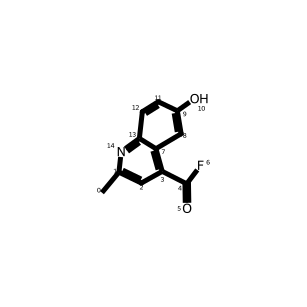 Cc1cc(C(=O)F)c2cc(O)ccc2n1